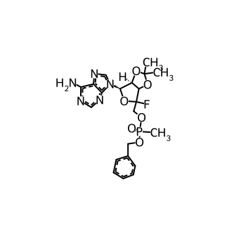 CC1(C)OC2[C@H](O1)[C@H](n1cnc3c(N)ncnc31)OC2(F)COP(C)(=O)OCc1ccccc1